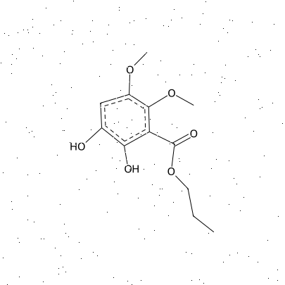 CCCOC(=O)c1c(O)c(O)cc(OC)c1OC